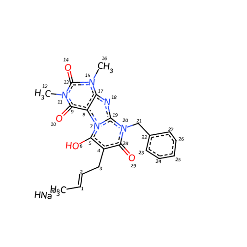 CC=CCc1c(O)n2c3c(=O)n(C)c(=O)n(C)c3nc2n(Cc2ccccc2)c1=O.[NaH]